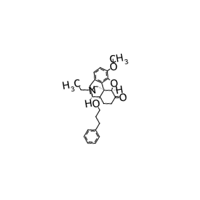 CCN1CC[C@]23c4c5ccc(OC)c4O[C@H]2C(=O)CC[C@@]3(OCCCc2ccccc2)[C@H]1C5